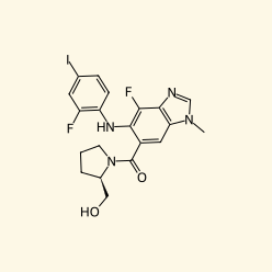 Cn1cnc2c(F)c(Nc3ccc(I)cc3F)c(C(=O)N3CCC[C@@H]3CO)cc21